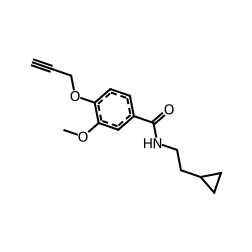 C#CCOc1ccc(C(=O)NCCC2CC2)cc1OC